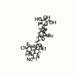 CCOc1cc2ncc(C#N)c(Nc3ccc(F)c(Cl)c3)c2cc1NC(=O)/C=C/CN(Cc1cn(C2OC(CO)C(O)C(O)C2F)nn1)C(=O)OC(C)(C)C